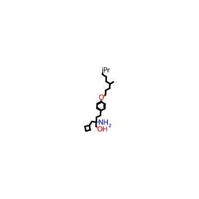 CC(C)CCCC(C)CCCOc1ccc(CC[C@@](N)(CO)CC2CCC2)cc1